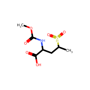 COC(=O)NC(CC(C)[SH](=O)=O)C(=O)O